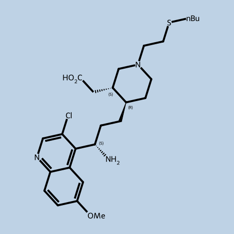 CCCCSCCN1CC[C@@H](CC[C@H](N)c2c(Cl)cnc3ccc(OC)cc23)[C@H](CC(=O)O)C1